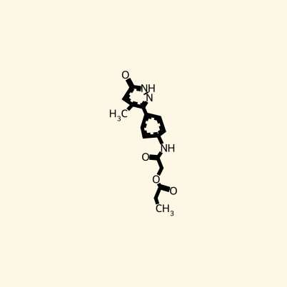 CCC(=O)OCC(=O)Nc1ccc(-c2n[nH]c(=O)cc2C)cc1